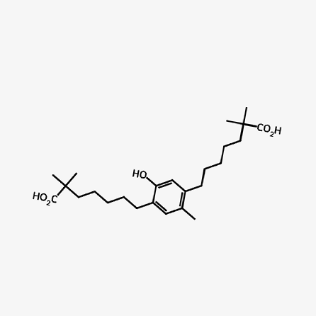 Cc1cc(CCCCCC(C)(C)C(=O)O)c(O)cc1CCCCCC(C)(C)C(=O)O